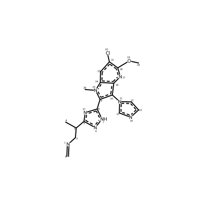 C=NCC(C)c1n[nH]c(-c2c(-n3ccnc3)c3nc(OC)c(Cl)cc3n2C)n1